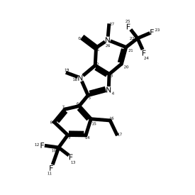 C=C1c2c(nc(-c3ccc(C(F)(F)F)cc3CC)n2C)C=C(C(F)(F)F)N1C